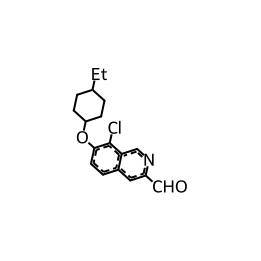 CCC1CCC(Oc2ccc3cc(C=O)ncc3c2Cl)CC1